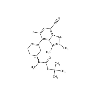 Cc1[nH]c2c(C#N)cc(F)c(C3=CCC[C@H](N(C)C(=O)OC(C)(C)C)C3)c2c1C